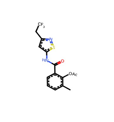 CC(=O)Oc1c(C)cccc1C(=O)Nc1cc(CC(F)(F)F)ns1